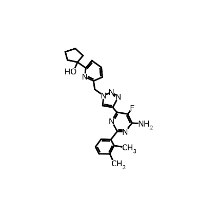 Cc1cccc(-c2nc(N)c(F)c(-c3cn(Cc4cccc(C5(O)CCCC5)n4)nn3)n2)c1C